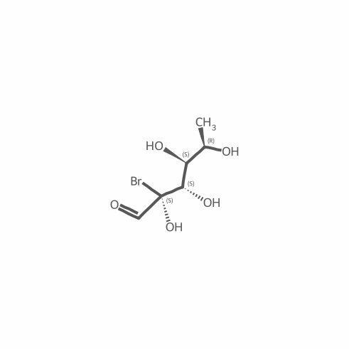 C[C@@H](O)[C@H](O)[C@H](O)[C@](O)(Br)C=O